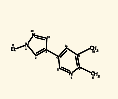 CCn1cc(-c2cnc(C)c(C)c2)cn1